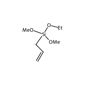 C=C[CH][Si](OC)(OC)OCC